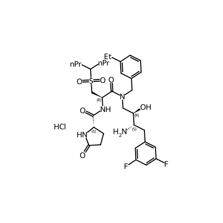 CCCC(CCC)S(=O)(=O)C[C@H](NC(=O)[C@@H]1CCC(=O)N1)C(=O)N(Cc1cccc(CC)c1)C[C@@H](O)[C@@H](N)Cc1cc(F)cc(F)c1.Cl